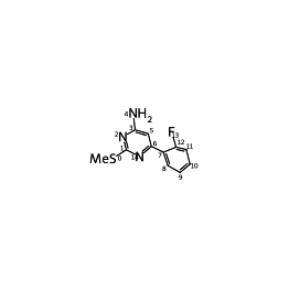 CSc1nc(N)cc(-c2ccccc2F)n1